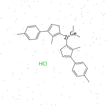 CC1=[C]([Zr]([C]2=C(C)C(c3ccc(C)cc3)=CC2)=[Ge]([CH3])[CH3])CC=C1c1ccc(C)cc1.Cl